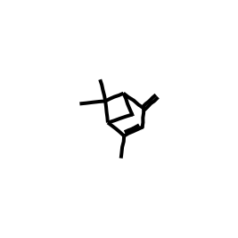 C=C1C=C(C)C2CC1C2(C)C